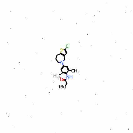 Cc1cc(N2CCCc3sc(Cl)cc3C2)cc(C)c1NC(=O)CC(C)(C)C